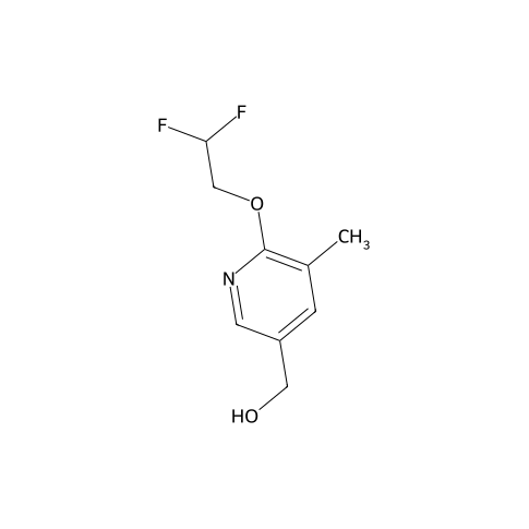 Cc1cc(CO)cnc1OCC(F)F